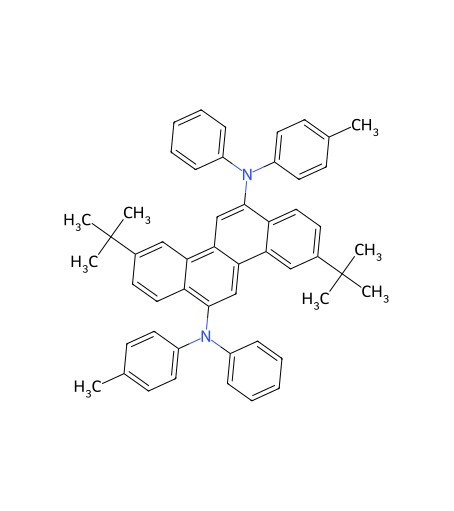 Cc1ccc(N(c2ccccc2)c2cc3c4cc(C(C)(C)C)ccc4c(N(c4ccccc4)c4ccc(C)cc4)cc3c3cc(C(C)(C)C)ccc23)cc1